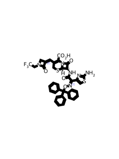 Nc1nc(/C(=N/OC(c2ccccc2)(c2ccccc2)c2ccccc2)C(=O)N[C@@H]2C(=O)N3C(C(=O)O)=C(/C=C4/CN(CC(F)(F)F)C4=O)CS[C@H]23)cs1